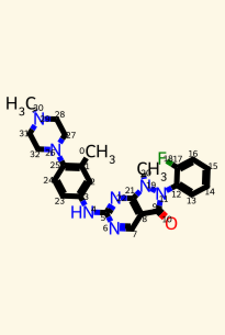 Cc1cc(Nc2ncc3c(=O)n(-c4ccccc4F)n(C)c3n2)ccc1N1CCN(C)CC1